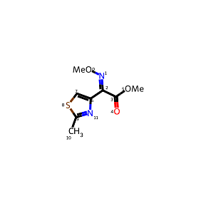 CO/N=C(/C(=O)OC)c1csc(C)n1